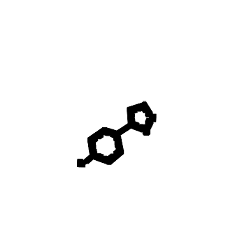 Brc1ccc(-c2c[c]no2)cc1